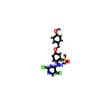 COc1ccc(COc2ccc(Nc3nc(Cl)ncc3Cl)c(P(C)(C)=O)c2)cc1